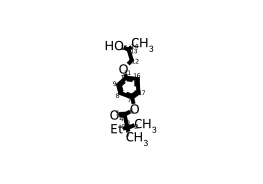 CCC(C)(C)C(=O)Oc1ccc(OCC(C)O)cc1